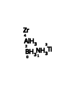 B.N.[AlH3].[Ti].[Zr]